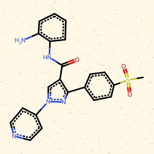 CS(=O)(=O)c1ccc(-c2nn(-c3ccncc3)cc2C(=O)Nc2ccccc2N)cc1